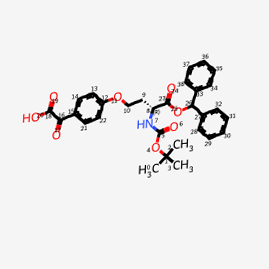 CC(C)(C)OC(=O)N[C@H](CCOc1ccc(C(=O)C(=O)O)cc1)C(=O)OC(c1ccccc1)c1ccccc1